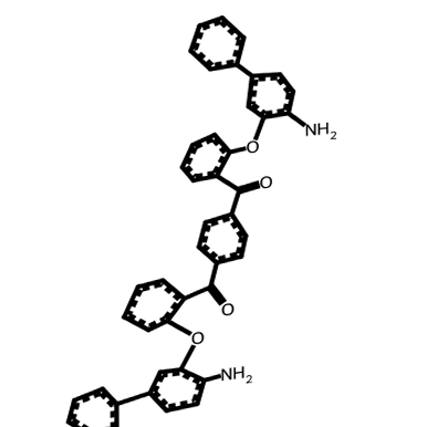 Nc1ccc(-c2ccccc2)cc1Oc1ccccc1C(=O)c1ccc(C(=O)c2ccccc2Oc2cc(-c3ccccc3)ccc2N)cc1